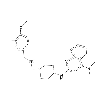 COc1ccc(CNCC2CCC(Nc3cc(N(C)C)c4ccccc4n3)CC2)cc1C